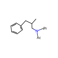 CC(=O)N(CC(C)Cc1ccccc1)C(C)C